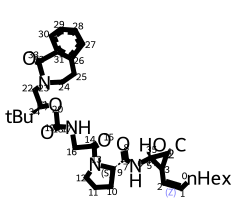 CCCCCC/C=C\C1C[C@]1(NC(=O)[C@@H]1CCCN1C(=O)CNC(=O)O[C@H](CN1CCc2ccccc2C1=O)C(C)(C)C)C(=O)O